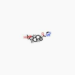 CC(C)OC[C@]12CC[C@@](C)(O)C[C@H]1CC[C@H]1[C@@H]3CC[C@H](C(=O)Cn4ccnn4)[C@@]3(C)CC[C@@H]12